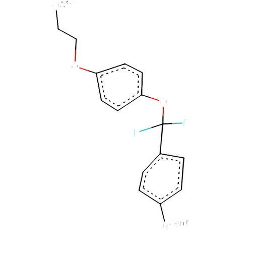 CCCCCc1ccc(C(F)(F)Oc2ccc(OCCOC)cc2)cc1